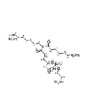 CCCCCCCC/C=C\CCCCCCC(C(=O)CCCCCCCCCCCCCCC)C(=O)OC[C@H](CO)OP(=O)(O)OCCN